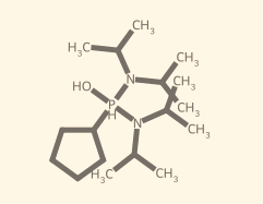 CC(C)N(C(C)C)[PH](O)(C1CCCC1)N(C(C)C)C(C)C